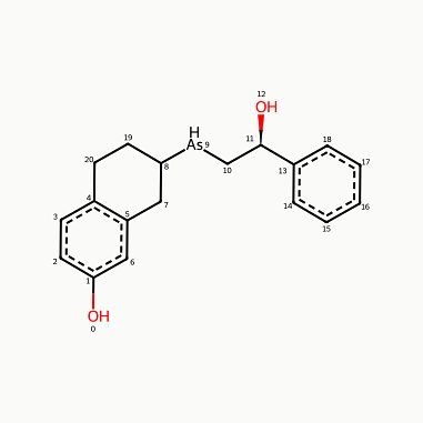 Oc1ccc2c(c1)CC([AsH]C[C@@H](O)c1ccccc1)CC2